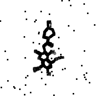 COc1cc(O)c(C=O)c2oc(=O)c(CC(=O)N3CCN(C)CC3)c(C)c12